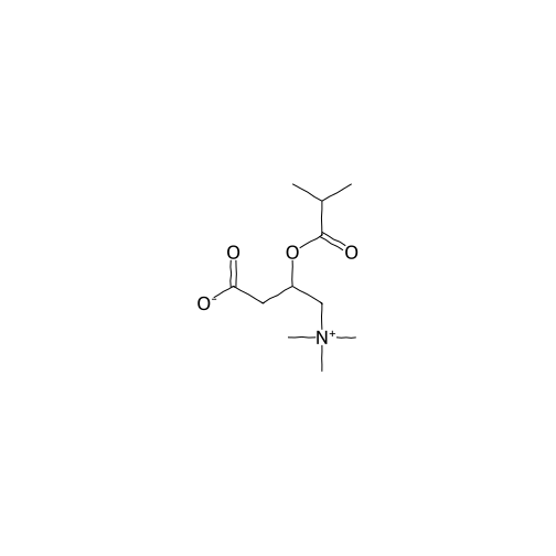 CC(C)C(=O)OC(CC(=O)[O-])C[N+](C)(C)C